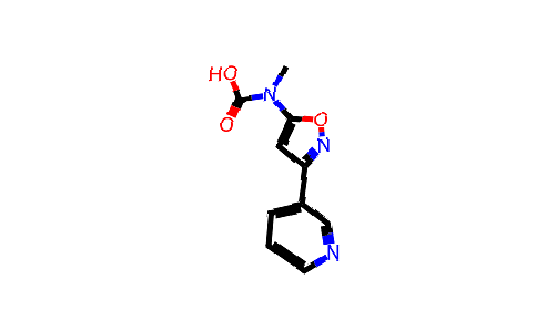 CN(C(=O)O)c1cc(-c2cccnc2)no1